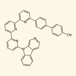 N#Cc1ccc(-c2ccc(-c3cccc(-c4cccc(-c5cccc(-n6c7ccccc7c7ccncc76)n5)n4)n3)cc2)cc1